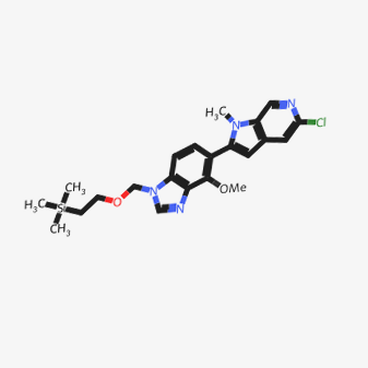 COc1c(-c2cc3cc(Cl)ncc3n2C)ccc2c1ncn2COCC[Si](C)(C)C